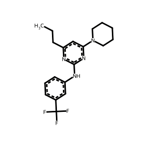 CCCc1cc(N2CCCCC2)nc(Nc2cccc(C(F)(F)F)c2)n1